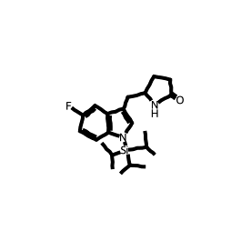 CC(C)[Si](C(C)C)(C(C)C)n1cc(CC2CCC(=O)N2)c2cc(F)ccc21